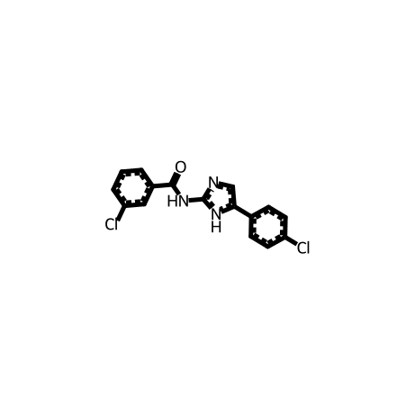 O=C(Nc1ncc(-c2ccc(Cl)cc2)[nH]1)c1cccc(Cl)c1